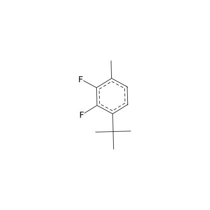 Cc1ccc(C(C)(C)C)c(F)c1F